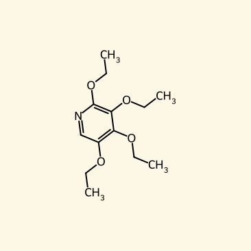 CCOc1cnc(OCC)c(OCC)c1OCC